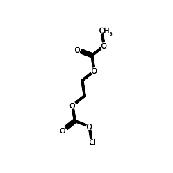 COC(=O)OCCOC(=O)OCl